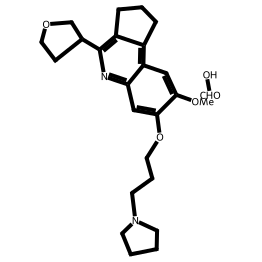 COc1cc2c3c(c(C4CCOC4)nc2cc1OCCCN1CCCC1)CCC3.O=CO